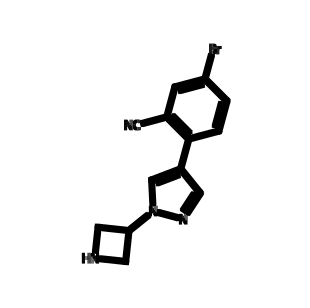 N#Cc1cc(Br)ccc1-c1cnn(C2CNC2)c1